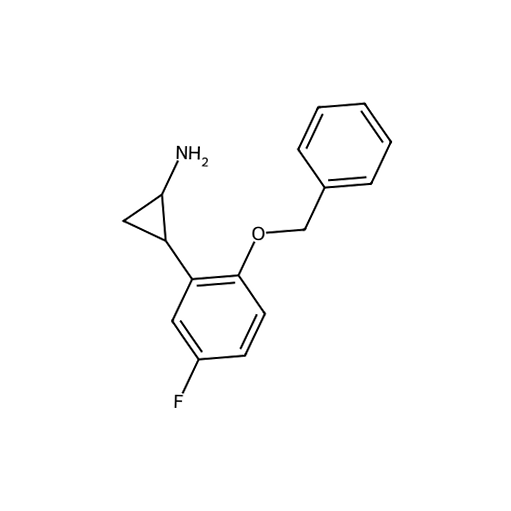 NC1CC1c1cc(F)ccc1OCc1ccccc1